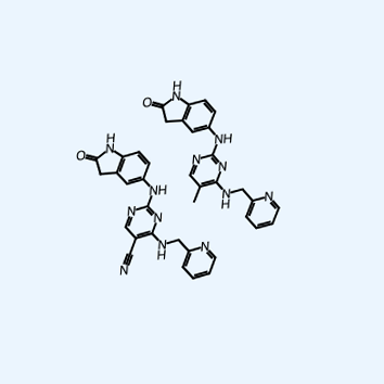 Cc1cnc(Nc2ccc3c(c2)CC(=O)N3)nc1NCc1ccccn1.N#Cc1cnc(Nc2ccc3c(c2)CC(=O)N3)nc1NCc1ccccn1